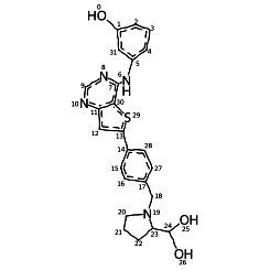 Oc1cccc(Nc2ncnc3cc(-c4ccc(CN5CCCC5C(O)O)cc4)sc23)c1